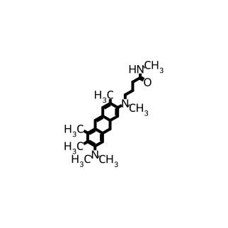 CNC(=O)CCCN(C)C1=CC2Cc3cc(N(C)C)c(C)c(C)c3C=C2C=C1C